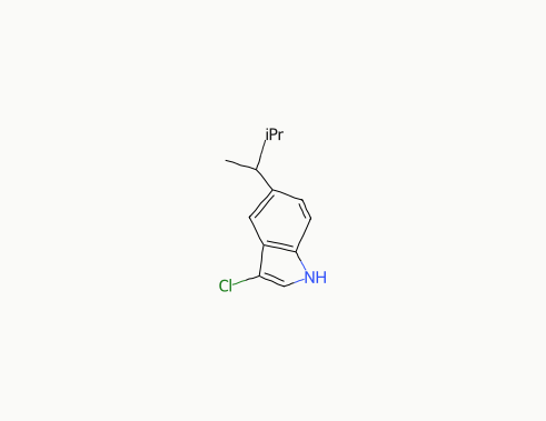 CC(C)C(C)c1ccc2[nH]cc(Cl)c2c1